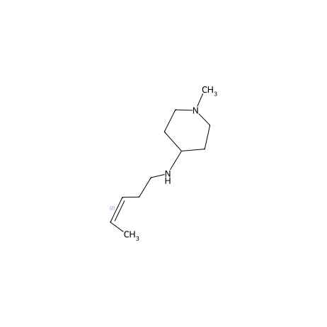 C/C=C\CCNC1CCN(C)CC1